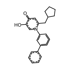 O=c1cc(CC2CCCC2)n(C2=CC(c3ccccc3)=C=C=C2)cc1O